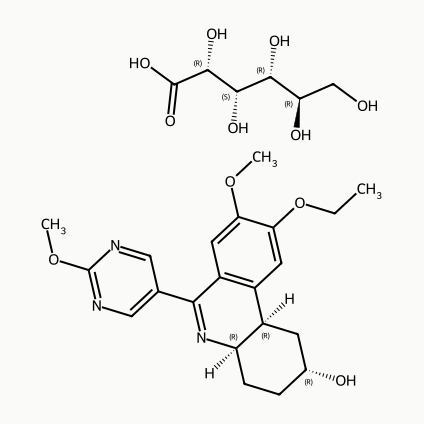 CCOc1cc2c(cc1OC)C(c1cnc(OC)nc1)=N[C@@H]1CC[C@@H](O)C[C@H]21.O=C(O)[C@H](O)[C@@H](O)[C@H](O)[C@H](O)CO